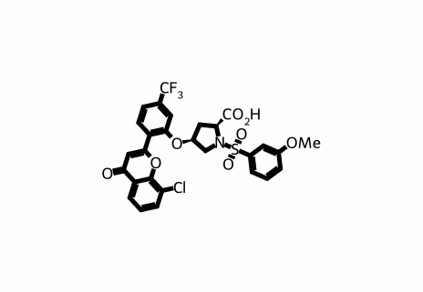 COc1cccc(S(=O)(=O)N2C[C@@H](Oc3cc(C(F)(F)F)ccc3-c3cc(=O)c4cccc(Cl)c4o3)C[C@H]2C(=O)O)c1